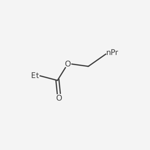 [CH2]CCCOC(=O)CC